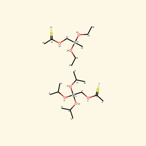 CC(=S)OC[Si](OC(C)C)(OC(C)C)OC(C)C.CCO[Si](C)(COC(C)=S)OCC